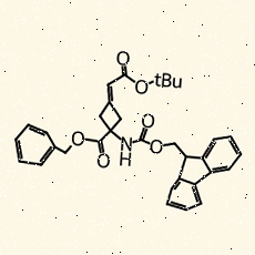 CC(C)(C)OC(=O)C=C1CC(NC(=O)OCC2c3ccccc3-c3ccccc32)(C(=O)OCc2ccccc2)C1